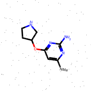 CNc1cc(OC2CCNC2)nc(N)n1